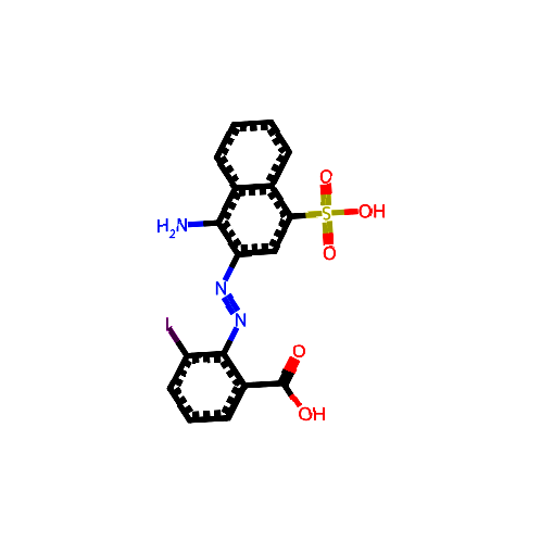 Nc1c(N=Nc2c(I)cccc2C(=O)O)cc(S(=O)(=O)O)c2ccccc12